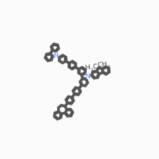 CC1(C)c2ccccc2-c2ccc(-n3c4c(c5cc(-c6ccc(C7=CC=C(n8c9ccccc9c9ccccc98)CC7)cc6)ccc53)C=C(c3ccc(-c5ccc(C6CCc7ccccc7-c7ccccc76)cc5)cc3)CC4)cc21